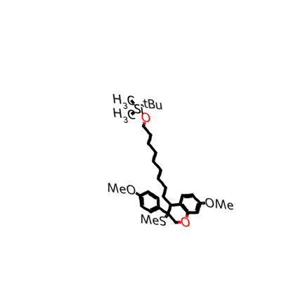 COc1ccc(C2(SC)COc3cc(OC)ccc3C2CCCCCCCCCO[Si](C)(C)C(C)(C)C)cc1